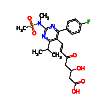 CC(C)c1nc(N(C)S(C)(=O)=O)nc(-c2ccc(F)cc2)c1C=CC(=O)CC(O)CC(=O)O